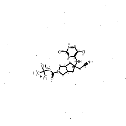 CC(C)(C)OC(=O)N1CC2CC(CC#N)(Nc3nc(Cl)ncc3Cl)CC2C1